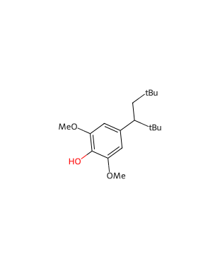 COc1cc(C(CC(C)(C)C)C(C)(C)C)cc(OC)c1O